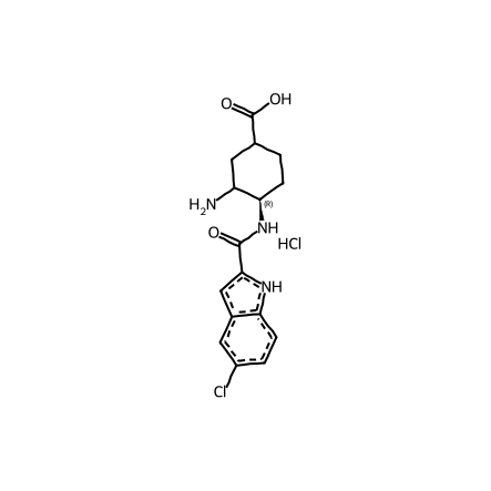 Cl.NC1CC(C(=O)O)CC[C@H]1NC(=O)c1cc2cc(Cl)ccc2[nH]1